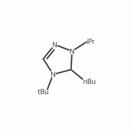 CCCCC1N(C(C)C)N=CN1C(C)(C)C